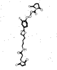 O=C(CCN1C(=O)C=CC1=O)NCCCCC1COC(c2ccc(OOOC(=O)N3C(=O)CCC3=O)c(F)c2)O1